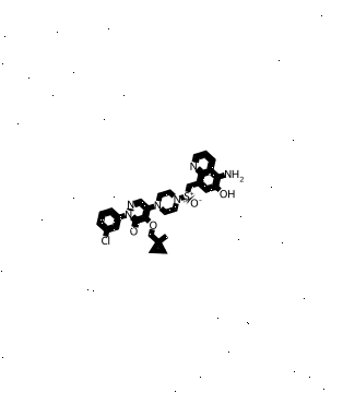 CC1(COc2c(N3CCN([S@+]([O-])Cc4cc(O)c(N)c5cccnc45)CC3)cnn(-c3cccc(Cl)c3)c2=O)CC1